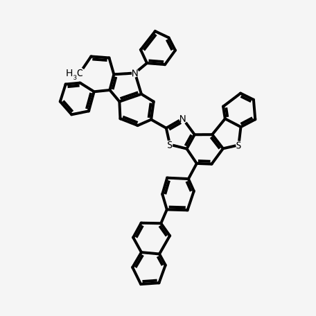 C/C=C\c1c(-c2ccccc2)c2ccc(-c3nc4c(s3)c(-c3ccc(-c5ccc6ccccc6c5)cc3)cc3sc5ccccc5c34)cc2n1-c1ccccc1